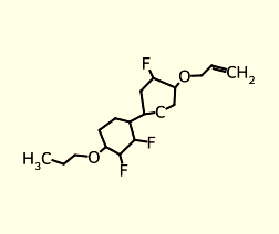 C=CCOC1CCC(C2CCC(OCCC)C(F)C2F)CC1F